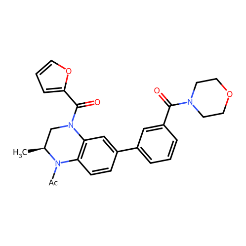 CC(=O)N1c2ccc(-c3cccc(C(=O)N4CCOCC4)c3)cc2N(C(=O)c2ccco2)C[C@@H]1C